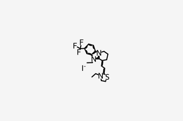 CCN1CCSC1=CC=C1CCCn2c1[n+](CC)c1cc(C(F)(F)F)ccc12.[I-]